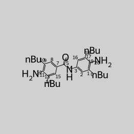 CCCCc1cc(NC(=O)c2cc(CCCC)c(N)c(CCCC)c2)cc(CCCC)c1N